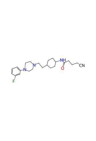 N#CCCCC(=O)NC1CCC(CCN2CCN(c3cccc(F)c3)CC2)CC1